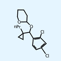 CCCC1(C(OC2CCCCO2)c2ccc(Cl)cc2Cl)CC1